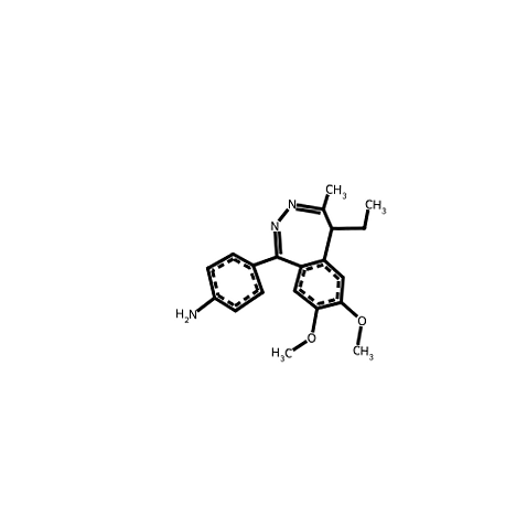 CCC1C(C)=NN=C(c2ccc(N)cc2)c2cc(OC)c(OC)cc21